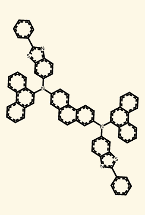 c1ccc(-c2nc3ccc(N(c4ccc5c(ccc6cc(N(c7ccc8nc(-c9ccccc9)sc8c7)c7cc8ccccc8c8ccccc78)ccc65)c4)c4cc5ccccc5c5ccccc45)cc3s2)cc1